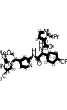 COC[C@H](c1ccnc(NC(=O)[C@@H](NC(=O)c2ccnn2C(C)C)C2CCC(C(F)(F)F)CC2)c1)N1C[C@@H](C(F)(F)F)NC1=O